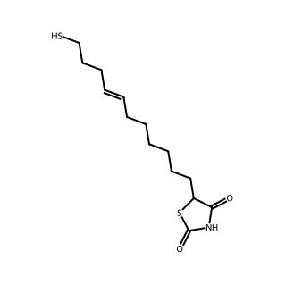 O=C1NC(=O)C(CCCCCCC=CCCCS)S1